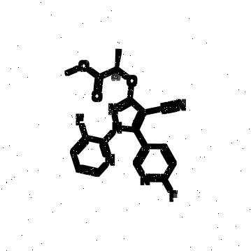 COC(=O)[C@@H](C)Oc1nn(-c2ncccc2F)c(-c2ccc(F)nc2)c1C#N